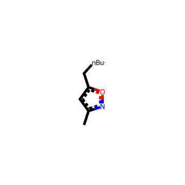 CCC[CH]Cc1cc(C)no1